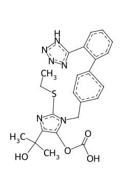 CCSc1nc(C(C)(C)O)c(OC(=O)O)n1Cc1ccc(-c2ccccc2-c2nnn[nH]2)cc1